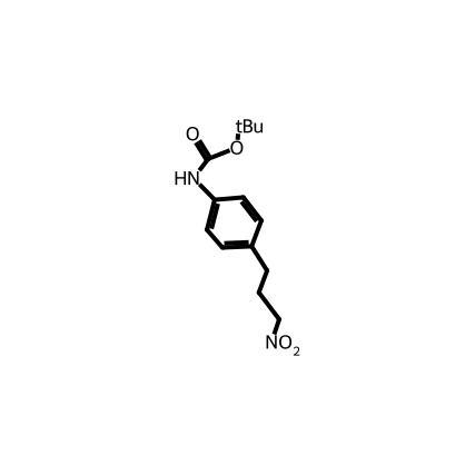 CC(C)(C)OC(=O)Nc1ccc(CCC[N+](=O)[O-])cc1